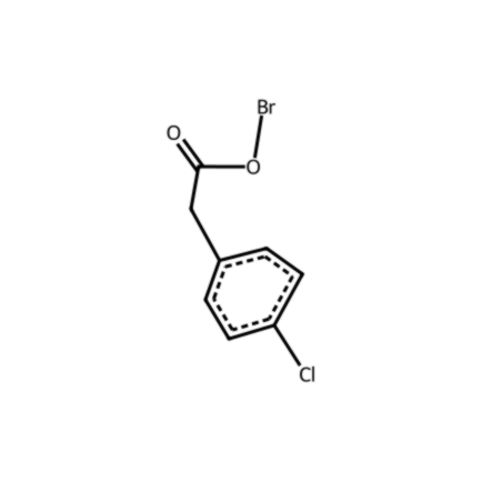 O=C(Cc1ccc(Cl)cc1)OBr